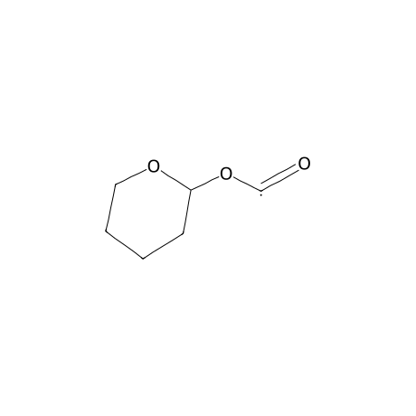 O=[C]OC1CCCCO1